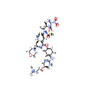 CC(c1cnc([N+](=O)[O-])n1C)N(c1cnc2cc(N3CCOCC3)nc(OC3CCC(Nc4ncc(OCCN(C)C)cn4)CC3)c2c1)S(C)(=O)=O